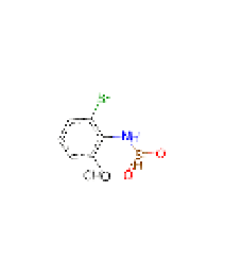 O=Cc1cccc(Br)c1N[SH](=O)=O